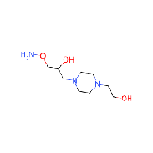 NOCC(O)CN1CCN(CCO)CC1